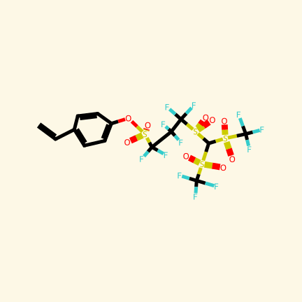 C=Cc1ccc(OS(=O)(=O)C(F)(F)C(F)(F)C(F)(F)S(=O)(=O)C(S(=O)(=O)C(F)(F)F)S(=O)(=O)C(F)(F)F)cc1